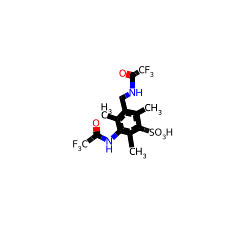 Cc1c(CNC(=O)C(F)(F)F)c(C)c(S(=O)(=O)O)c(C)c1NC(=O)C(F)(F)F